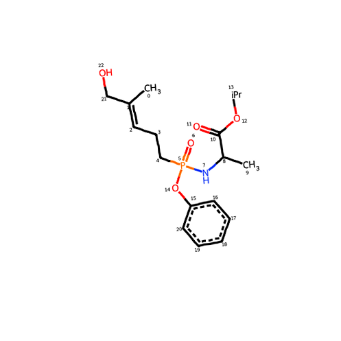 C/C(=C\CCP(=O)(NC(C)C(=O)OC(C)C)Oc1ccccc1)CO